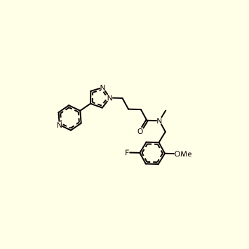 COc1ccc(F)cc1CN(C)C(=O)CCCn1cc(-c2ccncc2)cn1